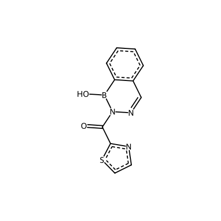 O=C(c1nccs1)N1N=Cc2ccccc2B1O